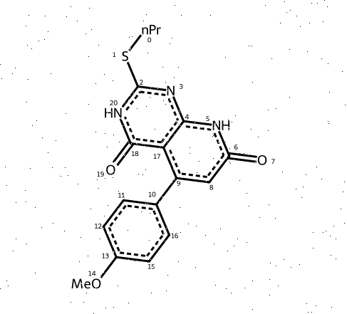 CCCSc1nc2[nH]c(=O)cc(-c3ccc(OC)cc3)c2c(=O)[nH]1